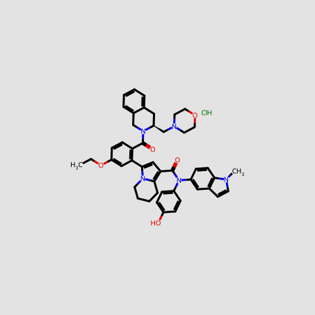 CCOc1ccc(C(=O)N2Cc3ccccc3C[C@H]2CN2CCOCC2)c(-c2cc(C(=O)N(c3ccc(O)cc3)c3ccc4c(ccn4C)c3)c3n2CCCC3)c1.Cl